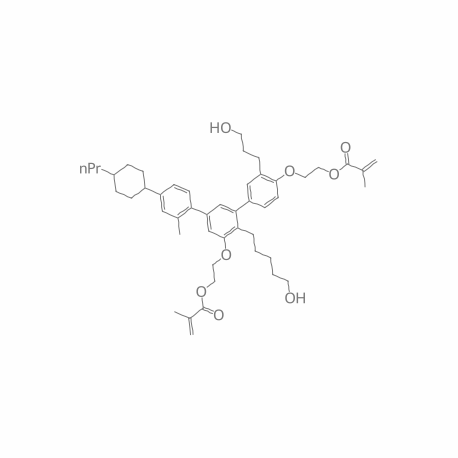 C=C(C)C(=O)OCCOc1ccc(-c2cc(-c3ccc(C4CCC(CCC)CC4)cc3C)cc(OCCOC(=O)C(=C)C)c2CCCCCO)cc1CCCO